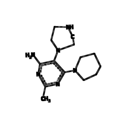 Cc1nc(N)c(N2CCNCC2)c(N2CCCCC2)n1